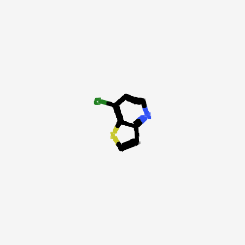 Clc1ccnc2[c]csc12